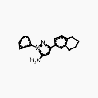 Nc1cc(-c2ccc3c(c2)CCCC3)nn1-c1ccccc1